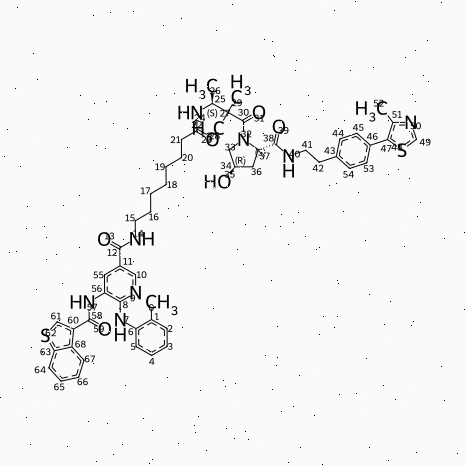 Cc1ccccc1Nc1ncc(C(=O)NCCCCCCCC(=O)N[C@@H](C)C(C)(C)C(=O)N2C[C@H](O)C[C@H]2C(=O)NCCc2ccc(-c3scnc3C)cc2)cc1NC(=O)c1csc2ccccc12